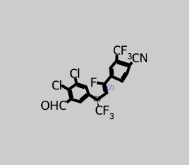 N#Cc1ccc(/C(F)=C/[C@@H](c2cc(Cl)c(Cl)c(C=O)c2)C(F)(F)F)cc1C(F)(F)F